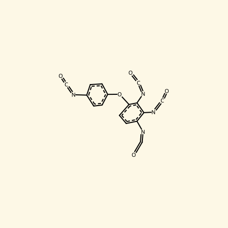 O=C=Nc1ccc(Oc2ccc(N=C=O)c(N=C=O)c2N=C=O)cc1